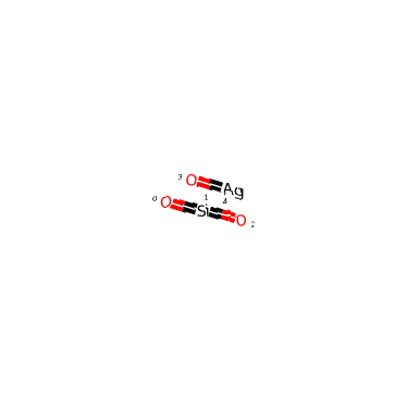 O=[Si]=O.[O]=[Ag]